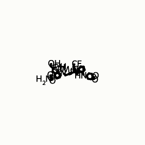 COc1c(NCC#Cc2cc3c(NC4CCS(=O)(=O)CC4)cccc3n2CC(F)(F)F)ccc(S(N)(=O)=O)c1CC(O)CO